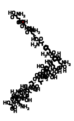 CC(C)C[C@H](N)C(=O)O.CC(C)[C@H](N)C(=O)O.CC[C@H](C)[C@H](N)C(=O)O.CSCC[C@H](N)C(=O)O.C[C@@H](O)[C@H](N)C(=O)O.NC(=O)CC[C@H](N)C(=O)O.NCC(=O)O.NCCCC[C@H](N)C(=O)O.N[C@@H](CCC(=O)O)C(=O)O.N[C@@H](CO)C(=O)O.N[C@@H](Cc1c[nH]c2ccccc12)C(=O)O.N[C@@H](Cc1c[nH]cn1)C(=O)O.N[C@@H](Cc1ccc(O)cc1)C(=O)O.N[C@@H](Cc1ccccc1)C(=O)O.O=C(O)[C@@H]1CCCN1